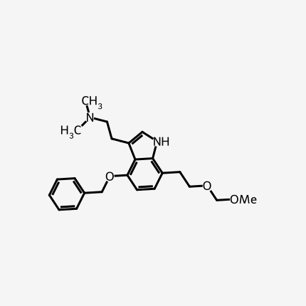 COCOCCc1ccc(OCc2ccccc2)c2c(CCN(C)C)c[nH]c12